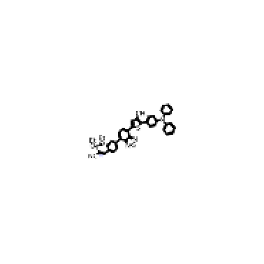 CCOP(OCC)/C(C#N)=C\c1ccc(-c2ccc(-c3cc(C)c(-c4ccc(N(c5ccccc5)c5ccccc5)cc4)s3)c3nsnc23)cc1